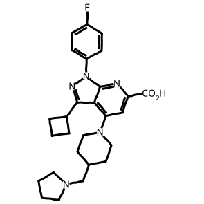 O=C(O)c1cc(N2CCC(CN3CCCC3)CC2)c2c(C3CCC3)nn(-c3ccc(F)cc3)c2n1